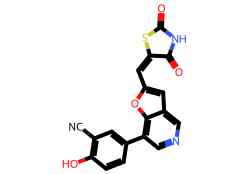 N#Cc1cc(-c2cncc3cc(C=C4SC(=O)NC4=O)oc23)ccc1O